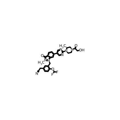 C[C@@H]1CN(C(=O)CO)CCN1c1ncc(-c2ccc3c(=O)n(C)n(Cc4cc(CC#N)ccc4OC(F)F)c3c2)cn1